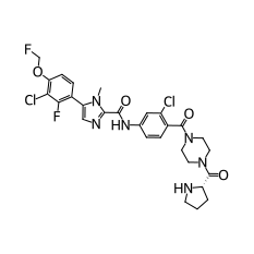 Cn1c(-c2ccc(OCF)c(Cl)c2F)cnc1C(=O)Nc1ccc(C(=O)N2CCN(C(=O)[C@@H]3CCCN3)CC2)c(Cl)c1